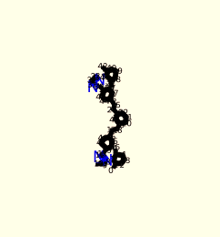 Cc1cccc(C)c1-n1ccnc1-c1ccc(CCc2cccc(CCc3ccc(-c4nccn4-c4c(C)cccc4C)cc3)c2)cc1